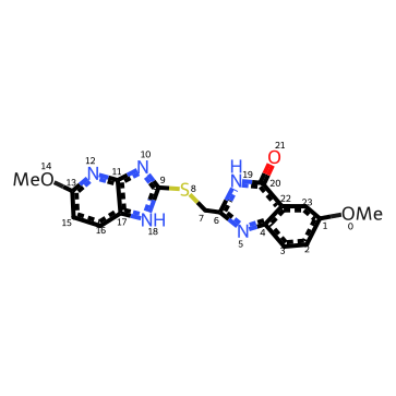 COc1ccc2nc(CSc3nc4nc(OC)ccc4[nH]3)[nH]c(=O)c2c1